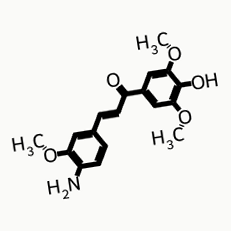 COc1cc(/C=C/C(=O)c2cc(OC)c(O)c(OC)c2)ccc1N